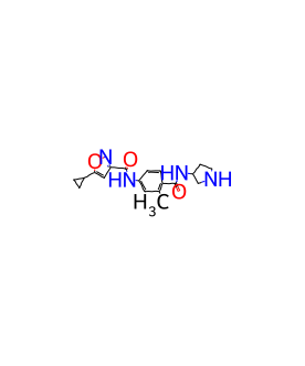 Cc1cc(NC(=O)c2cc(C3CC3)on2)ccc1C(=O)NC1CCNC1